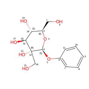 OC[C@H]1O[C@@H](Oc2ccccc2)[C@@](O)(CO)[C@@H](O)[C@@H]1O